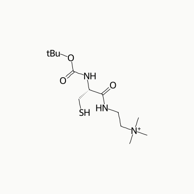 CC(C)(C)OC(=O)N[C@@H](CS)C(=O)NCC[N+](C)(C)C